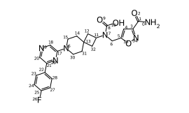 NC(=O)c1cc(CN(C(=O)O)C2CC3(CCN(c4cncc(-c5ccc(F)cc5)n4)CC3)C2)on1